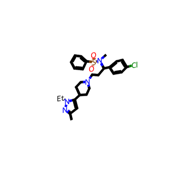 CCn1nc(C)cc1C1CCN(CCC(c2ccc(Cl)cc2)N(C)S(=O)(=O)c2ccccc2)CC1